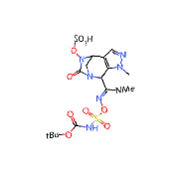 CN/C(=N\OS(=O)(=O)NC(=O)OC(C)(C)C)C1c2c(cnn2C)C2CN1C(=O)N2OS(=O)(=O)O